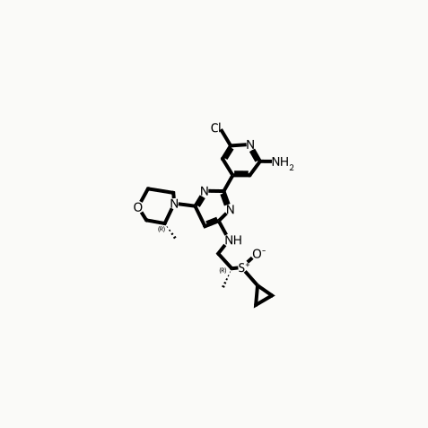 C[C@@H]1COCCN1c1cc(NC[C@@H](C)[S+]([O-])C2CC2)nc(-c2cc(N)nc(Cl)c2)n1